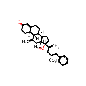 C=C1C[C@@]2(C)[C@@H](CC[C@@]2(O)C(=C)C[C@H](Cc2ccccc2)C(=O)O)[C@@H]2CCC3=CC(=O)CC[C@@H]3[C@@H]12